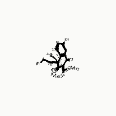 CSC(SC)=C1C(=O)c2cc(F)ccc2[C@@](C)(CCC(C)C)C1=O